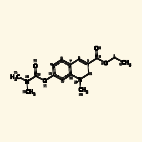 CCOC(=O)C1=Cc2ccc(OC(=O)N(C)C)cc2N(C)C1